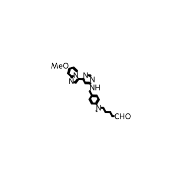 COc1ccn2c(-c3cc(NCc4ccc(N(C)CCCCC=O)cc4)ncn3)cnc2c1